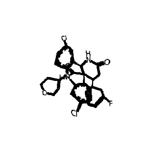 O=C1C[C@@H](C2C=CC=C(F)C2)[C@]2(C(=O)Nc3cc(Cl)ccc32)[C@@H](c2cc(Cl)ccc2OC2CCOCC2)N1